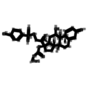 CCCCCOC(=O)O[C@]1(C(=O)COS(=O)(=O)c2ccc(Cl)cc2)CC[C@H]2[C@@H]3CCC4=CC(=O)C=C[C@]4(C)[C@H]3C(O)C[C@@]21C